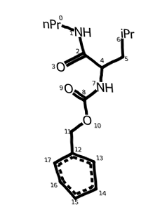 CCCNC(=O)C(CC(C)C)NC(=O)OCc1ccccc1